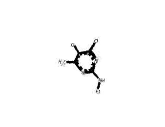 CCNc1nc(C)c(Cl)c(Cl)n1